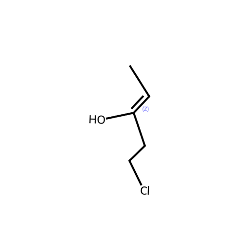 C/C=C(\O)CCCl